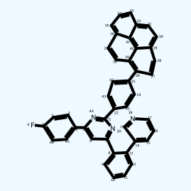 Fc1ccc(-c2cc(-c3ccccc3-c3cccnc3)nc(-c3ccc(-c4ccc5ccc6cccc7ccc4c5c67)cc3)n2)cc1